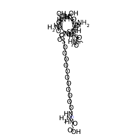 CCC(=O)N[C@H](C(=O)NCC(=O)N[C@@H]1C[S+]([O-])c2[nH]c3c(CSCCOCCOCCOCCOCCOCCOCCOCCOCCOCCOCCOCCN/C=C(\N)CNC(=O)CCC(=O)O)c(OC)ccc3c2C[C@@H](C(N)=O)NC(=O)[C@H]([C@@H](C)[C@@H](O)CO)NC(=O)[C@@H]2C[C@@H](O)CN2C(=O)[C@H](CC(N)=O)NC1=O)[C@@H](C)CC